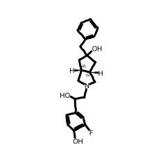 Oc1ccc(C(O)CN2C[C@@H]3CC(O)(Cc4ccccc4)C[C@@H]3C2)cc1F